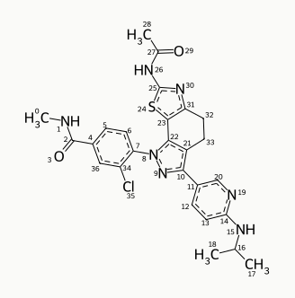 CNC(=O)c1ccc(-n2nc(-c3ccc(NC(C)C)nc3)c3c2-c2sc(NC(C)=O)nc2CC3)c(Cl)c1